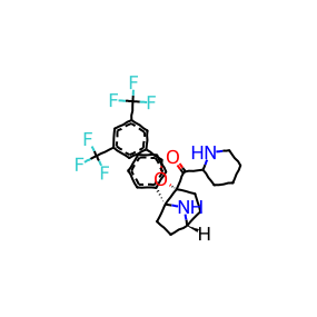 O=C(C1CCCCN1)[C@@]1(OCc2cc(C(F)(F)F)cc(C(F)(F)F)c2)CC[C@@H]2CC[C@]1(c1ccccc1)N2